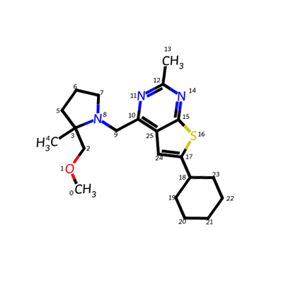 COCC1(C)CCCN1Cc1nc(C)nc2sc(C3CCCCC3)cc12